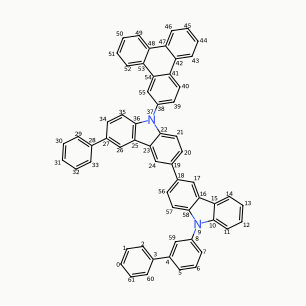 c1ccc(-c2cccc(-n3c4ccccc4c4cc(-c5ccc6c(c5)c5cc(-c7ccccc7)ccc5n6-c5ccc6c7ccccc7c7ccccc7c6c5)ccc43)c2)cc1